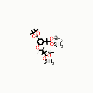 C[SiH2]OC(O[SiH2]C)C(C)(C)c1cc(O[C@@H](C)[C@@H](C)C(C)(C)C(O[SiH2]C)O[SiH2]C)cc(B2OC(C)(C)C(C)(C)O2)c1